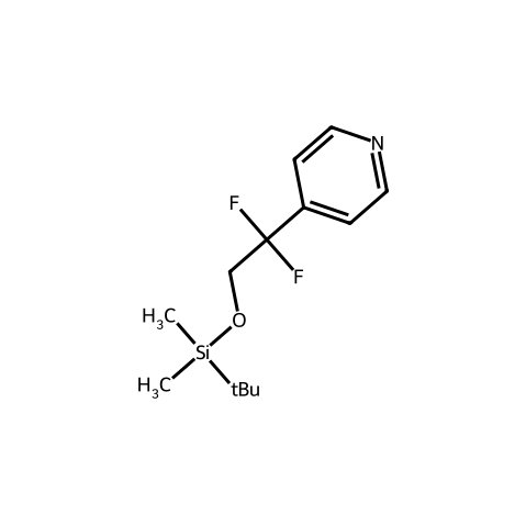 CC(C)(C)[Si](C)(C)OCC(F)(F)c1ccncc1